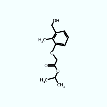 Cc1c(CO)cccc1OCC(=O)OC(C)C